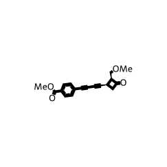 COC[C@H]1C(=O)C[C@H]1C#CC#Cc1ccc(C(=O)OC)cc1